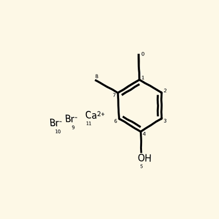 Cc1ccc(O)cc1C.[Br-].[Br-].[Ca+2]